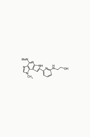 CNc1nc2[nH]c(-c3cccc(NCCO)n3)cc2c2c1ncn2C